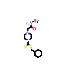 CC(C)NC(=O)CN1CCN(C(=S)SCC2CCCCC2)CC1